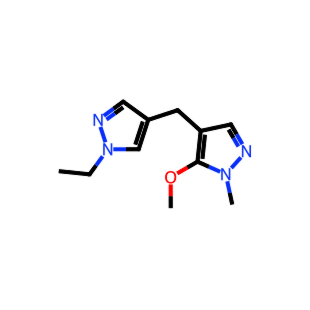 CCn1cc(Cc2cnn(C)c2OC)cn1